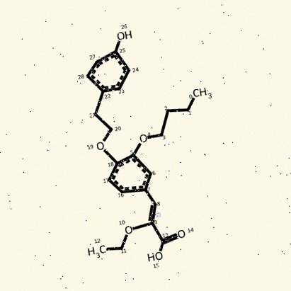 CCCCOc1cc(/C=C(\OCC)C(=O)O)ccc1OCCc1ccc(O)cc1